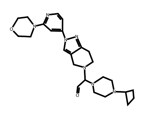 O=CC(N1CCN(C2CCC2)CC1)N1CCc2nn(-c3ccnc(N4CCOCC4)c3)cc2C1